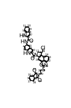 O=C(Nc1ccc2[nH]c(C(=O)N3C[C@@H](CCl)c4c3cc3c5c(cccc45)N=C(SCCN4C(=O)c5ccccc5C4=O)O3)cc2c1)c1cc2ccccc2[nH]1